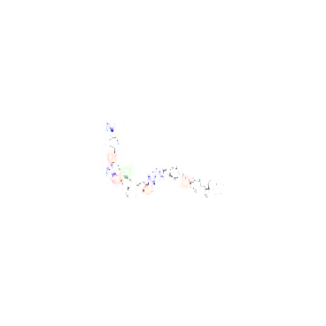 Cc1cc(Oc2ccc(OCc3ccc(C#N)cc3)cn2)c(Cl)cc1C=CC(=O)N1CCN(Cc2ccc(COc3ccc(C(C)C)cc3)cc2)CC1